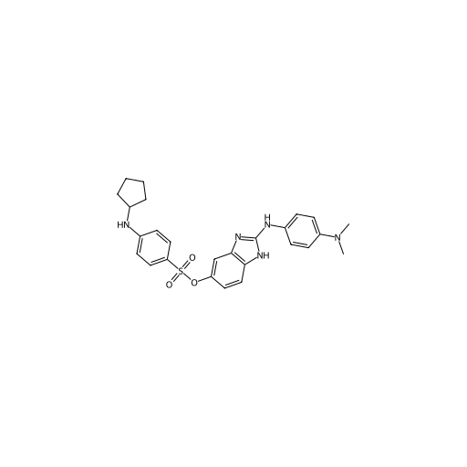 CN(C)c1ccc(Nc2nc3cc(OS(=O)(=O)c4ccc(NC5CCCC5)cc4)ccc3[nH]2)cc1